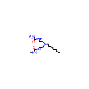 CCCCCCCN(CCNC(N)=O)CCNC(=O)NC